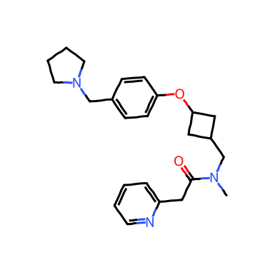 CN(CC1CC(Oc2ccc(CN3CCCC3)cc2)C1)C(=O)Cc1ccccn1